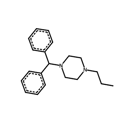 CCCN1CCN(C(c2ccccc2)c2ccccc2)CC1